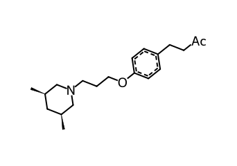 CC(=O)CCc1ccc(OCCCN2C[C@H](C)C[C@H](C)C2)cc1